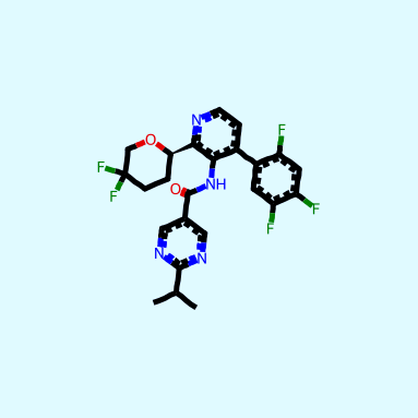 CC(C)c1ncc(C(=O)Nc2c(-c3cc(F)c(F)cc3F)ccnc2[C@H]2CCC(F)(F)CO2)cn1